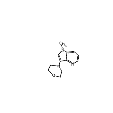 Cn1cc(N2CCOCC2)c2ncccc21